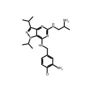 CC(N)CNc1nc(NCc2ccc(Cl)c(N)c2)c2c(n1)c(C(C)C)nn2C(C)C